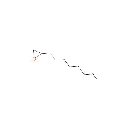 CC=CCCCCCC1CO1